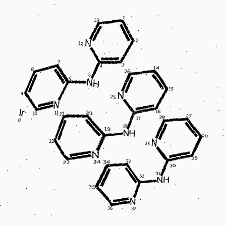 [Ir].c1ccc(Nc2ccccn2)nc1.c1ccc(Nc2ccccn2)nc1.c1ccc(Nc2ccccn2)nc1